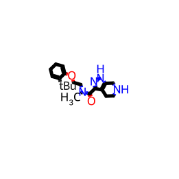 CN(CCOC1=CCCC=C1C(C)(C)C)C(=O)c1n[nH]c2c1CCNC2